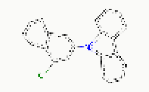 Clc1cc(-n2c3ccccc3c3ccccc32)cc2ccccc12